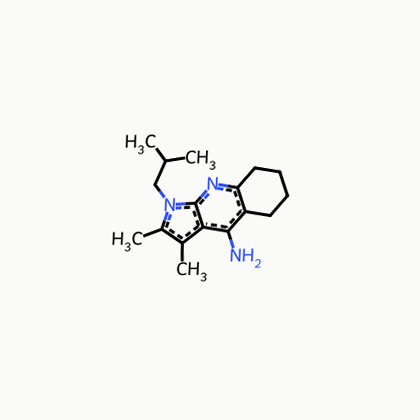 Cc1c(C)n(CC(C)C)c2nc3c(c(N)c12)CCCC3